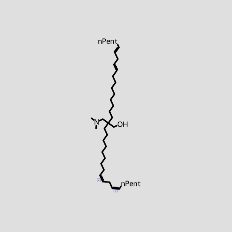 CCCCCC=CCC=CCCCCCCCCC(CO)(CCCCCCCC/C=C\C/C=C\CCCCC)CN(C)C